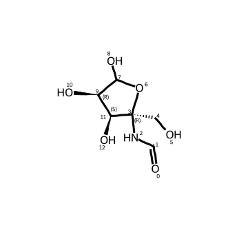 O=[C]N[C@]1(CO)OC(O)[C@H](O)[C@@H]1O